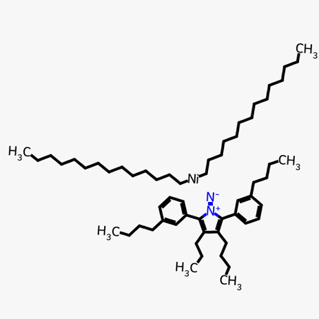 CCCCC1=C(c2cccc(CCCC)c2)[N+](=[N-])C(c2cccc(CCCC)c2)=C1CCC.CCCCCCCCCCCCC[CH2][Ni][CH2]CCCCCCCCCCCCC